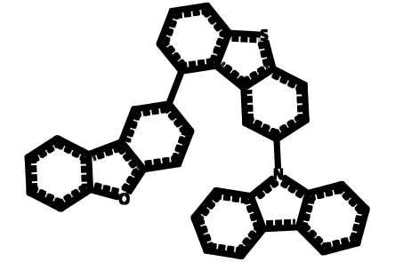 c1ccc2c(c1)oc1ccc(-c3cccc4sc5ccc(-n6c7ccccc7c7ccccc76)cc5c34)cc12